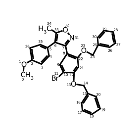 COc1ccc(-c2c(-c3cc(Br)c(OCc4ccccc4)cc3OCc3ccccc3)noc2C)cc1